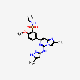 CCNS(=O)(=O)c1cc(-c2cc3nc(C)cn3c(Nc3cc(C)[nH]n3)n2)ccc1OC